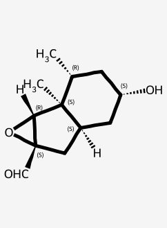 C[C@@H]1C[C@H](O)C[C@H]2C[C@]3(C=O)O[C@@H]3[C@]21C